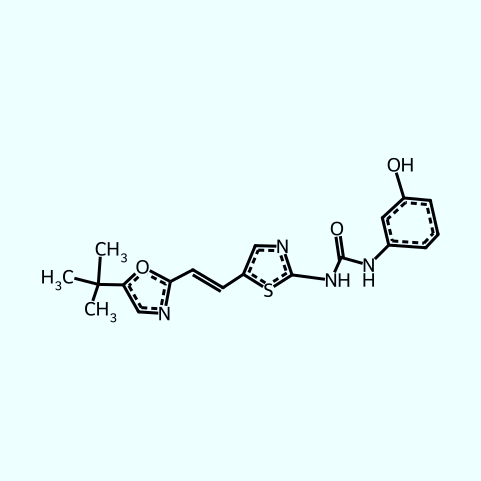 CC(C)(C)c1cnc(C=Cc2cnc(NC(=O)Nc3cccc(O)c3)s2)o1